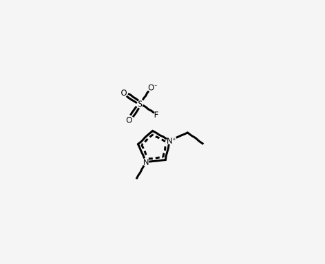 CC[n+]1ccn(C)c1.O=S(=O)([O-])F